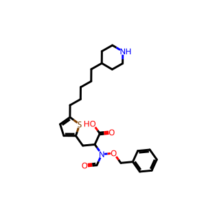 O=CN(OCc1ccccc1)C(Cc1ccc(CCCCCC2CCNCC2)s1)C(=O)O